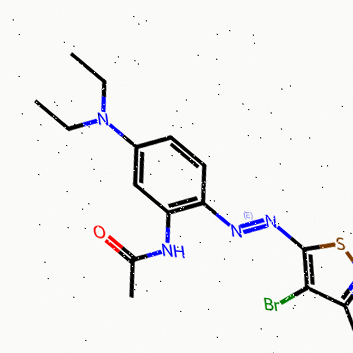 CCN(CC)c1ccc(/N=N/c2snc(C)c2Br)c(NC(C)=O)c1